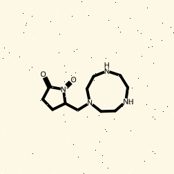 O=C1CCC(CN2CCNCCNCC2)[N+]1=O